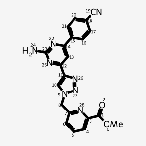 COC(=O)c1cccc(Cn2cc(-c3cc(-c4ccc(C#N)cc4)nc(N)n3)nn2)n1